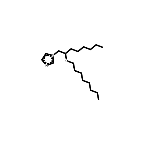 CCCCCCCCOC(CCCCCC)Cn1ccnc1